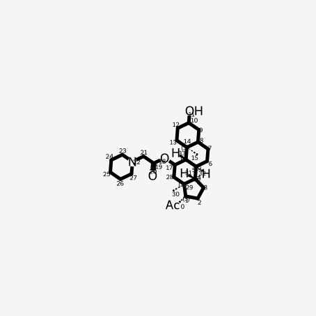 CC(=O)[C@H]1CC[C@H]2[C@@H]3CCC4CC(O)CC[C@]4(C)[C@H]3C(OC(=O)CN3CCCCC3)C[C@]12C